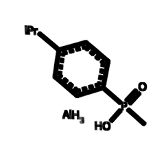 CC(C)c1ccc(P(C)(=O)O)cc1.[AlH3]